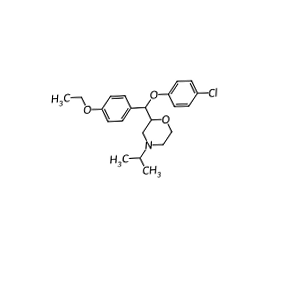 CCOc1ccc(C(Oc2ccc(Cl)cc2)C2CN(C(C)C)CCO2)cc1